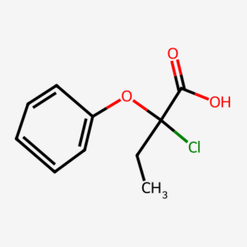 CCC(Cl)(Oc1ccccc1)C(=O)O